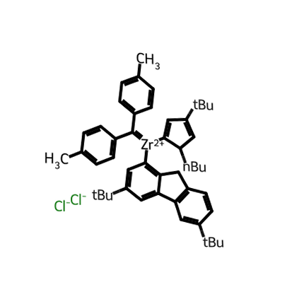 CCCCC1C=C(C(C)(C)C)C=[C]1[Zr+2](=[C](c1ccc(C)cc1)c1ccc(C)cc1)[c]1cc(C(C)(C)C)cc2c1Cc1ccc(C(C)(C)C)cc1-2.[Cl-].[Cl-]